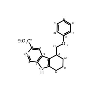 CCOC(=O)c1cc2c3c([nH]c2cn1)CCCC3COc1ccccc1